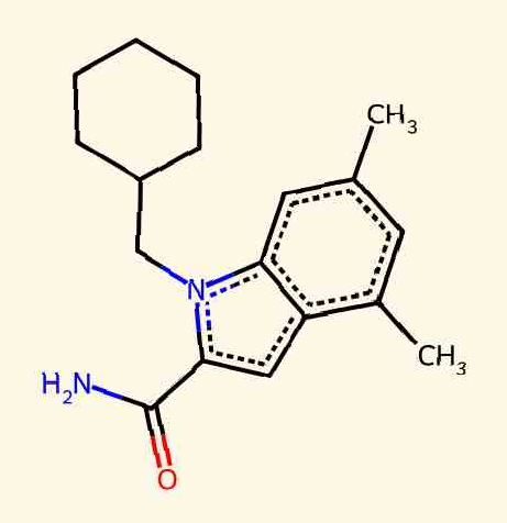 Cc1cc(C)c2cc(C(N)=O)n(CC3CCCCC3)c2c1